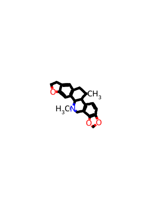 CC1Cc2cc3c(cc2C2C1c1ccc4c(c1CN2C)OCO4)OCC3